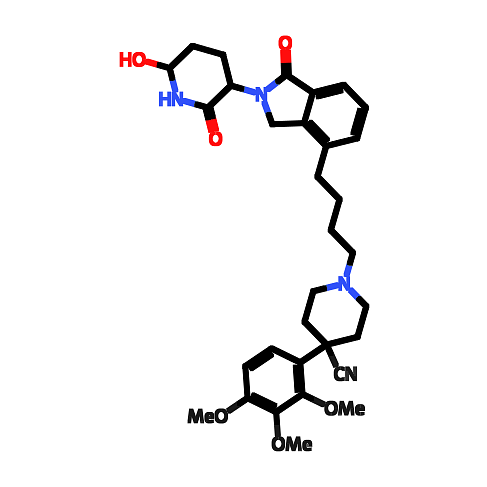 COc1ccc(C2(C#N)CCN(CCCCc3cccc4c3CN(C3CCC(O)NC3=O)C4=O)CC2)c(OC)c1OC